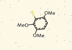 COc1ccc(OC)c(OC)c1[S]